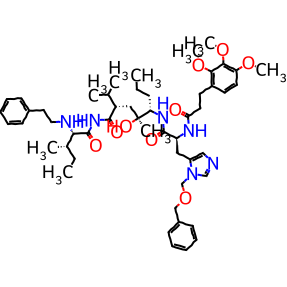 CCC[C@H](NC(=O)[C@H](Cc1cncn1COCc1ccccc1)NC(=O)CCc1ccc(OC)c(OC)c1OC)[C@@](C)(O)C[C@H](C(=O)NC(=O)[C@@H](NCCc1ccccc1)[C@@H](C)CC)C(C)C